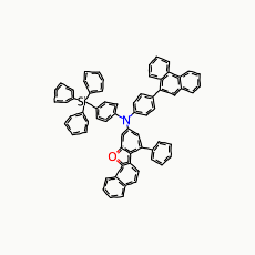 c1ccc(-c2cc(N(c3ccc(-c4cc5ccccc5c5ccccc45)cc3)c3ccc([Si](c4ccccc4)(c4ccccc4)c4ccccc4)cc3)cc3oc4c5ccccc5ccc4c23)cc1